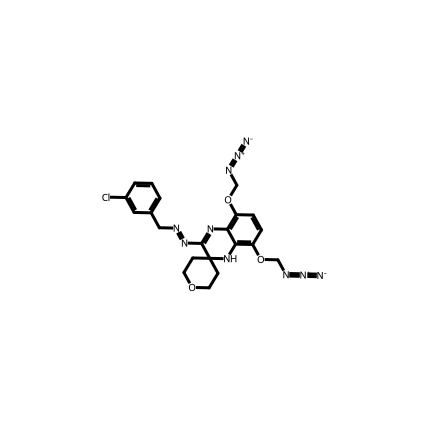 [N-]=[N+]=NCOc1ccc(OCN=[N+]=[N-])c2c1N=C(N=NCc1cccc(Cl)c1)C1(CCOCC1)N2